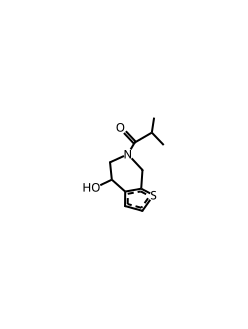 CC(C)C(=O)N1Cc2sccc2C(O)C1